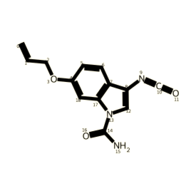 C=CCOc1ccc2c(N=C=O)cn(C(N)=O)c2c1